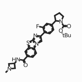 CN1CC(NC(=O)c2ccc3c(c2)sc2nc(-c4ccc(C5CCCN5C(=O)OC(C)(C)C)cc4F)cn23)C1